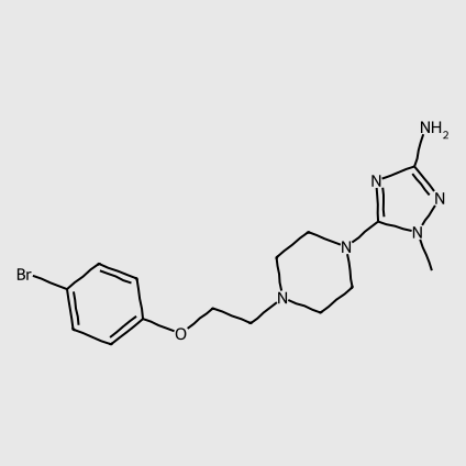 Cn1nc(N)nc1N1CCN(CCOc2ccc(Br)cc2)CC1